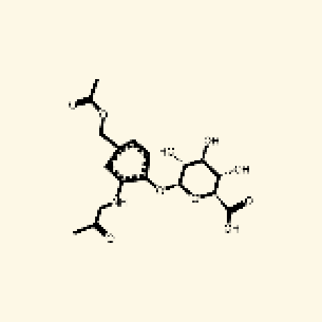 CC(=O)CNc1cc(COC(C)=O)ccc1O[C@@H]1O[C@H](C(=O)O)[C@@H](O)[C@H](O)[C@H]1O